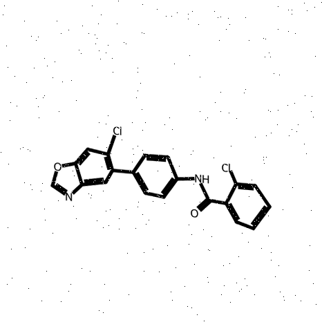 O=C(Nc1ccc(-c2cc3ncoc3cc2Cl)cc1)c1ccccc1Cl